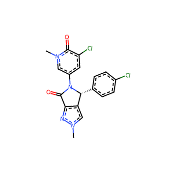 Cn1cc2c(n1)C(=O)N(c1cc(Cl)c(=O)n(C)c1)[C@@H]2c1ccc(Cl)cc1